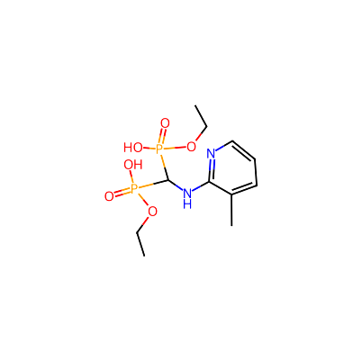 CCOP(=O)(O)C(Nc1ncccc1C)P(=O)(O)OCC